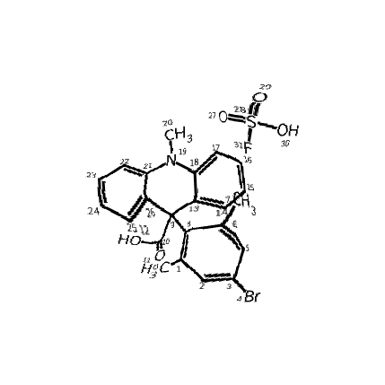 Cc1cc(Br)cc(C)c1C1(C(=O)O)c2ccccc2N(C)c2ccccc21.O=S(=O)(O)F